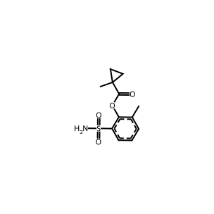 Cc1cccc(S(N)(=O)=O)c1OC(=O)C1(C)CC1